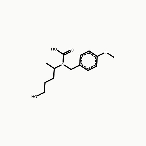 COc1ccc(CN(C(=O)O)C(C)CCCO)cc1